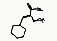 COC(=O)/C(=C/C1CCCCC1)CC(=O)O